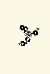 CN1CCC(CN2CCN(c3nc(-c4cccc(O)c4)nc(N4CCc5ccccc5C4CO)n3)CC2)CC1